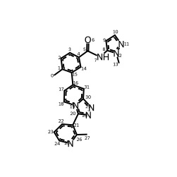 Cc1ccc(C(=O)Nc2ccnn2C)cc1-c1ccn2c(-c3cccnc3C)nnc2c1